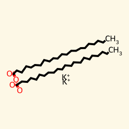 CCCCCCCCCCCCCCCCCCCCCC(=O)[O-].CCCCCCCCCCCCCCCCCCCCCC(=O)[O-].[K+].[K+]